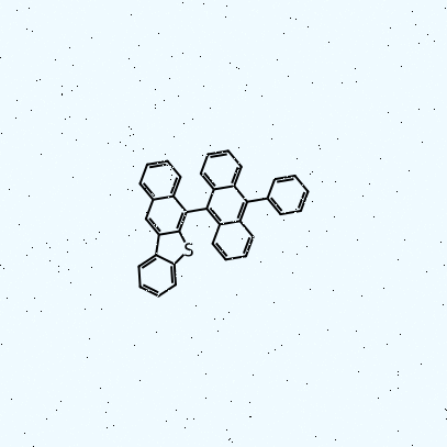 c1ccc(-c2c3ccccc3c(-c3c4ccccc4cc4c3sc3ccccc34)c3ccccc23)cc1